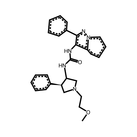 COCCN1CC(NC(=O)Nc2c(-c3ccccc3)nn3ccccc23)[C@H](c2ccccc2)C1